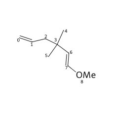 C=CCC(C)(C)/C=C/OC